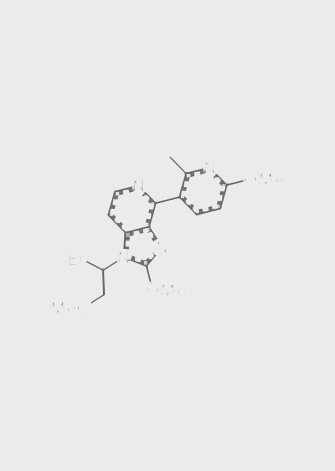 CCC(COC)n1c(OC)nc2c(-c3ccc(OC)nc3C)nccc21